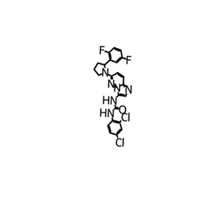 O=C(Nc1ccc(Cl)cc1Cl)Nc1cnc2ccc(N3CCCC3c3cc(F)ccc3F)nn12